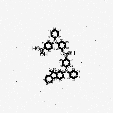 CC1(C)c2ccccc2-c2ccc(N(c3ccccc3)c3ccc(B(O)Oc4cccc(N(c5ccccc5)c5ccc(B(O)O)cc5)c4)cc3)cc21